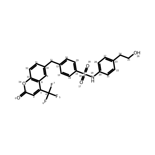 O=c1cc(C(F)(F)F)c2cc(Cc3ccc(S(=O)(=O)Nc4ccc(CCO)cc4)cc3)ccc2o1